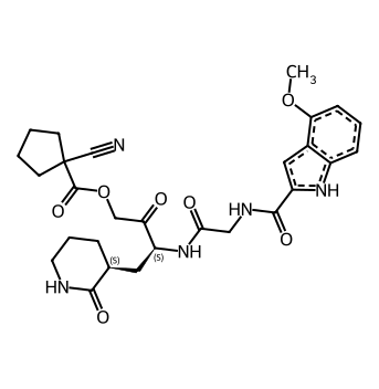 COc1cccc2[nH]c(C(=O)NCC(=O)N[C@@H](C[C@@H]3CCCNC3=O)C(=O)COC(=O)C3(C#N)CCCC3)cc12